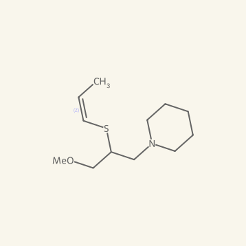 C/C=C\SC(COC)CN1CCCCC1